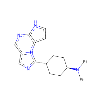 CCN(CC)[C@H]1CC[C@H](c2ncc3cnc4[nH]ccc4n32)CC1